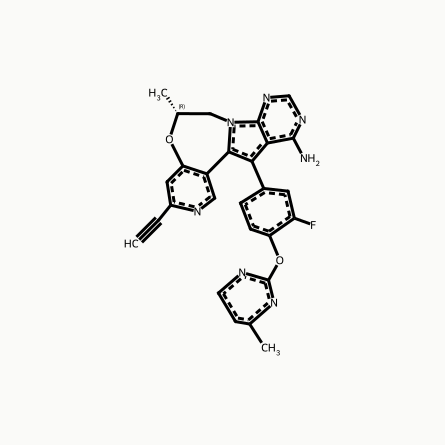 C#Cc1cc2c(cn1)-c1c(-c3ccc(Oc4nccc(C)n4)c(F)c3)c3c(N)ncnc3n1C[C@@H](C)O2